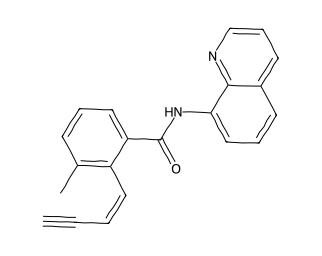 C#C/C=C\c1c(C)cccc1C(=O)Nc1cccc2cccnc12